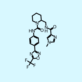 Cn1cnc(C(=O)NCC2CCCCN2C(=O)Nc2ccc(-c3noc(C(F)(F)F)n3)cc2)c1